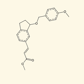 COC(=O)/C=C/c1ccc2c(c1)C(OCc1ccc(OC)cc1)CC2